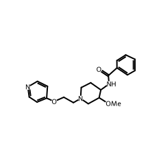 COC1CN(CCOc2ccncc2)CCC1NC(=O)c1ccccc1